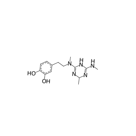 CNC1=NC(C)N=C(N(C)CCc2ccc(O)c(O)c2)N1